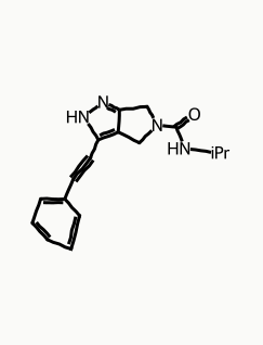 CC(C)NC(=O)N1Cc2n[nH]c(C#Cc3ccccc3)c2C1